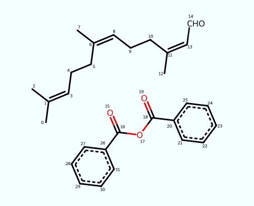 CC(C)=CCCC(C)=CCCC(C)=CC=O.O=C(OC(=O)c1ccccc1)c1ccccc1